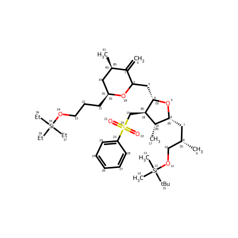 C=C1C(C[C@@H]2O[C@H](C[C@H](C)CO[Si](C)(C)C(C)(C)C)[C@H](C)[C@H]2CS(=O)(=O)c2ccccc2)O[C@@H](CCCO[Si](CC)(CC)CC)C[C@H]1C